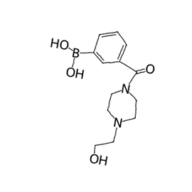 O=C(c1cccc(B(O)O)c1)N1CCN(CCO)CC1